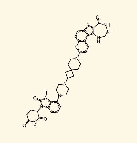 C[C@@H]1CNc2c(sc3ccc4nc(N5CCC6(CC5)CC(N5CCN(c7cccc8c7n(C)c(=O)n8C7CCC(=O)NC7=O)CC5)C6)ccc4c23)C(=O)N1